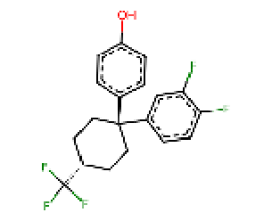 Oc1ccc([C@]2(c3ccc(F)c(F)c3)CC[C@@H](C(F)(F)F)CC2)cc1